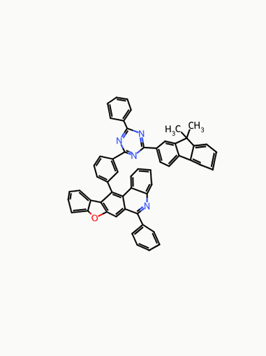 CC1(C)c2ccccc2-c2ccc(-c3nc(-c4ccccc4)nc(-c4cccc(-c5c6c(cc7c(-c8ccccc8)nc8ccccc8c57)oc5ccccc56)c4)n3)cc21